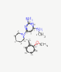 CNc1cc(N2CCCC[C@H]2Cc2ccccc2OC)nc(N)n1